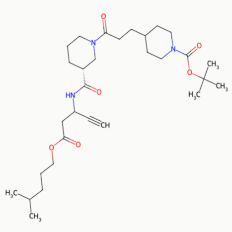 C#CC(CC(=O)OCCCC(C)C)NC(=O)[C@@H]1CCCN(C(=O)CCC2CCN(C(=O)OC(C)(C)C)CC2)C1